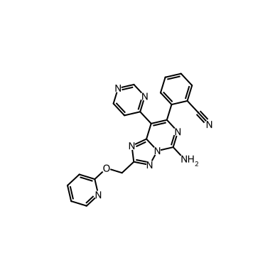 N#Cc1ccccc1-c1nc(N)n2nc(COc3ccccn3)nc2c1-c1ccncn1